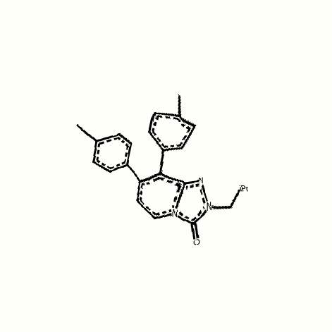 Cc1ccc(-c2ccn3c(=O)n(CC(C)C)nc3c2-c2ccc(C)cc2)cc1